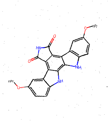 CCCOc1ccc2[nH]c3c4[nH]c5ccc(OCCC)cc5c4c4c(c3c2c1)C(=O)NC4=O